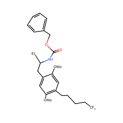 CCC(Cc1cc(OC)c(CCCCC(F)(F)F)cc1OC)NC(=O)OCc1ccccc1